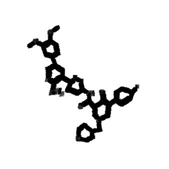 COc1ccc(-c2cnc(N)c(-c3ccc(NC(=O)c4cn(CC5CCOCC5)cc(-c5ccc(F)cc5)c4=O)nn3)c2)cc1OC